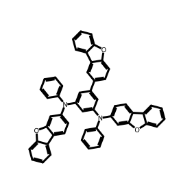 c1ccc(N(c2cc(-c3ccc4oc5ccccc5c4c3)cc(N(c3ccccc3)c3ccc4c(c3)oc3ccccc34)c2)c2ccc3c(c2)oc2ccccc23)cc1